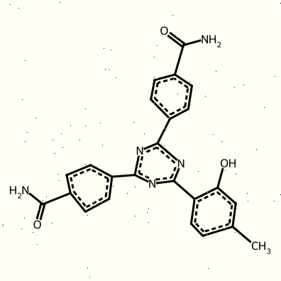 Cc1ccc(-c2nc(-c3ccc(C(N)=O)cc3)nc(-c3ccc(C(N)=O)cc3)n2)c(O)c1